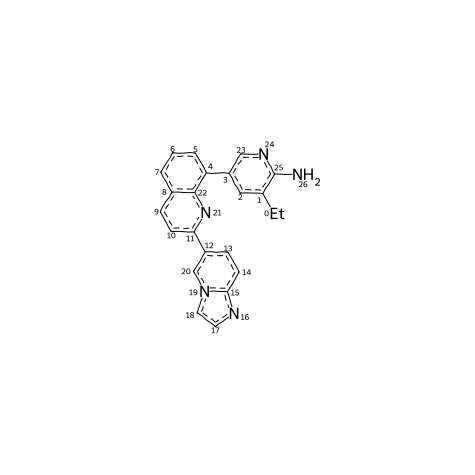 CCc1cc(-c2cccc3ccc(-c4ccc5nccn5c4)nc23)cnc1N